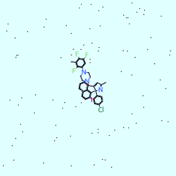 CC1=NC(c2ccc(Cl)cc2)(c2c(I)ccc3ccccc23)C(CN2CCN(c3cc(F)c(F)c(C)c3F)CC2)=C1